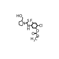 COC(=O)Oc1cc(NC(=S)N2CCCC2CO)c(F)cc1Cl